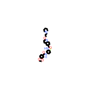 O=C(Nc1ccc(F)c(NC(=O)c2ccc3nc(OCCCN4CCCCC4)ccc3c2)c1)c1ccc2c(c1)OCCO2